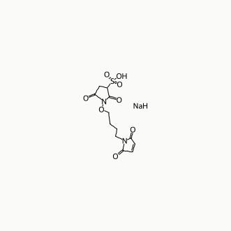 O=C1C=CC(=O)N1CCCCON1C(=O)CC(S(=O)(=O)O)C1=O.[NaH]